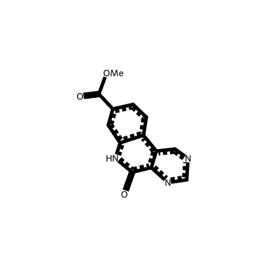 COC(=O)c1ccc2c(c1)[nH]c(=O)c1ncncc12